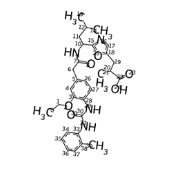 CCOc1cc(CC(=O)NC(CC(C)C)c2ncc(CC(C)C(=O)O)o2)ccc1NC(=O)Nc1ccccc1C